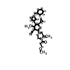 COCCC(=O)N1CCN(c2nc(C3CC3)c(-c3cnn(Cc4ccccc4)c3)c(C)c2C#N)C[C@H]1C